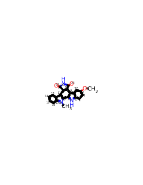 COc1ccc2[nH]c3c(c4c(c5c6ccccc6n(C)c35)C(=O)NC4=O)c2c1